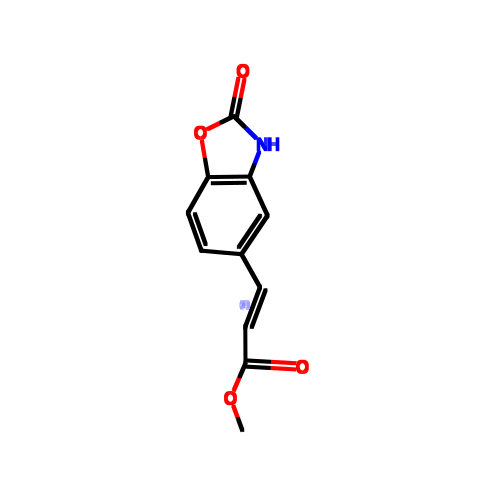 COC(=O)/C=C/c1ccc2oc(=O)[nH]c2c1